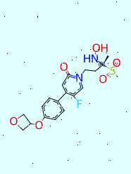 C[C@@](CCn1cc(F)c(-c2ccc(OC3COC3)cc2)cc1=O)(NO)S(C)(=O)=O